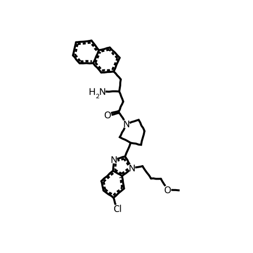 COCCCn1c(C2CCCN(C(=O)CC(N)Cc3ccc4ccccc4c3)C2)nc2ccc(Cl)cc21